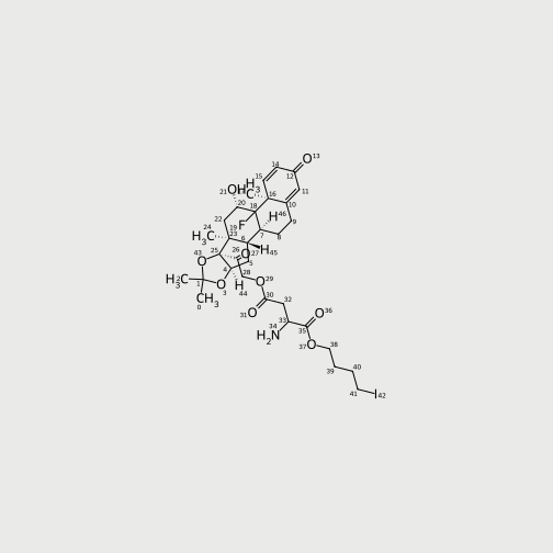 CC1(C)O[C@@H]2C[C@H]3[C@@H]4CCC5=CC(=O)C=C[C@]5(C)C4(F)[C@@H](O)C[C@]3(C)[C@]2(C(=O)COC(=O)CC(N)C(=O)OCCCCI)O1